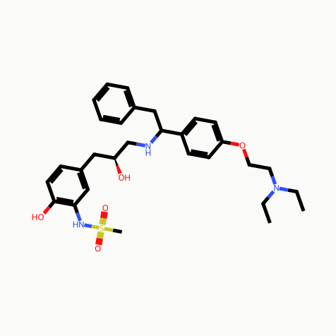 CCN(CC)CCOc1ccc(C(Cc2ccccc2)NC[C@@H](O)Cc2ccc(O)c(NS(C)(=O)=O)c2)cc1